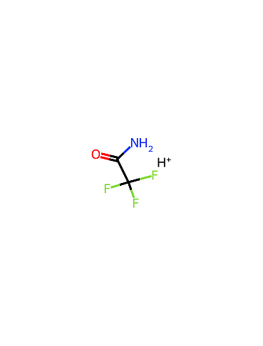 NC(=O)C(F)(F)F.[H+]